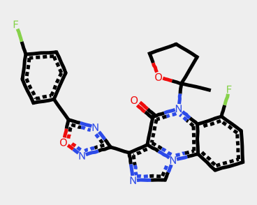 CC1(n2c(=O)c3c(-c4noc(-c5ccc(F)cc5)n4)ncn3c3cccc(F)c32)CCCO1